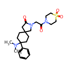 CN(C)C1(c2ccccc2)CCC2(CC1)CC(=O)N(CC(=O)N1CCS(=O)(=O)CC1)C2